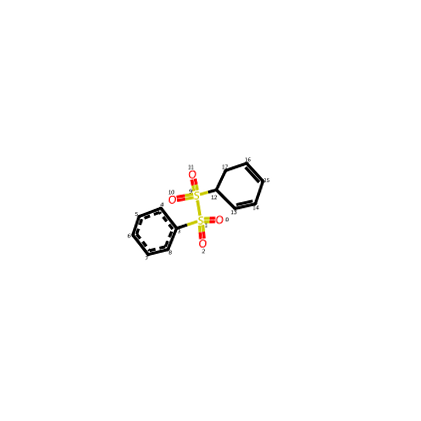 O=S(=O)(c1ccccc1)S(=O)(=O)C1C=CC=CC1